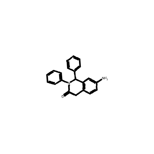 Nc1ccc2c(c1)C(c1ccccc1)N(c1ccccc1)C(=O)C2